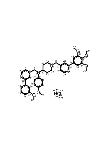 COc1ccc(N(Cc2ccnc(-c3cccc(OC)c3)c2)C2CCN(Cc3ccnc(-c4cc(OC)c(OC)c(OC)c4)c3)CC2)cc1.Cl.Cl.Cl